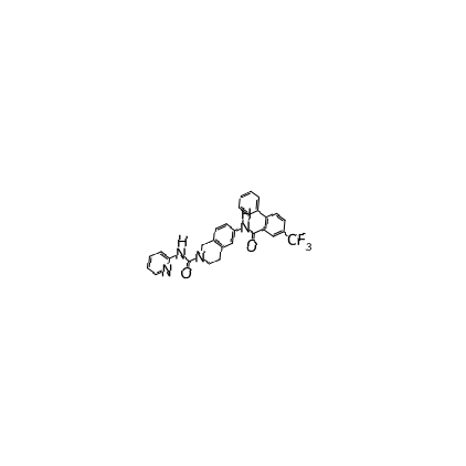 O=C(Nc1ccc2c(c1)CCN(C(=O)Nc1ccccn1)C2)c1cc(C(F)(F)F)ccc1-c1ccccc1